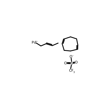 C/C=C/[CH2][Pd+].C1=C\CC/C=C\CC/1.O=S(=O)([O-])C(F)(F)F